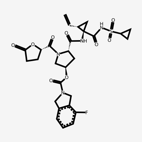 C=C[C@@H]1C[C@]1(NC(=O)[C@@H]1C[C@@H](OC(=O)N2Cc3cccc(F)c3C2)CN1C(=O)[C@@H]1CCC(=O)O1)C(=O)NS(=O)(=O)C1CC1